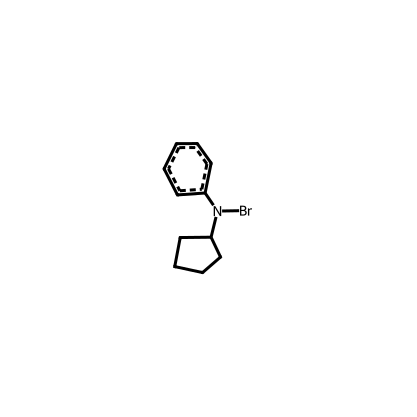 BrN(c1ccccc1)C1CCCC1